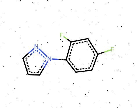 Fc1ccc(-n2c[c]cn2)c(F)c1